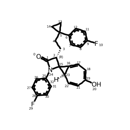 O=C1[C@H](CCC2(c3ccc(F)cc3)CC2)C2(C3=CC=C(O)C=C[C@H]32)N1c1ccc(F)cc1